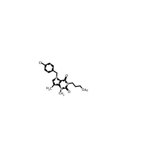 CC(=O)OCCCn1c(=O)c2c(c(C)cn2Cc2ccc(Cl)cc2)n(C)c1=O